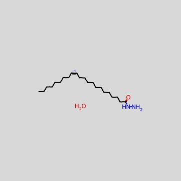 CCCCCCCC/C=C\CCCCCCCCCCCC(=O)NN.O